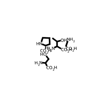 CC(O)C(N)C(=O)O.NC(CO)C(=O)O.NCC(=O)O.O=C(O)[C@@H]1CCCN1